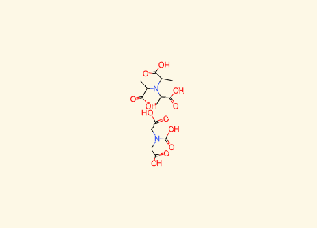 CC(C(=O)O)N(C(C)C(=O)O)C(C)C(=O)O.O=C(O)CN(CC(=O)O)C(=O)O